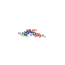 COC(=O)CS(=O)(=O)c1ccc([C@@H](CO)NC(=O)c2cc3c(Cl)c(Cl)c(C)nc3n2C)cc1